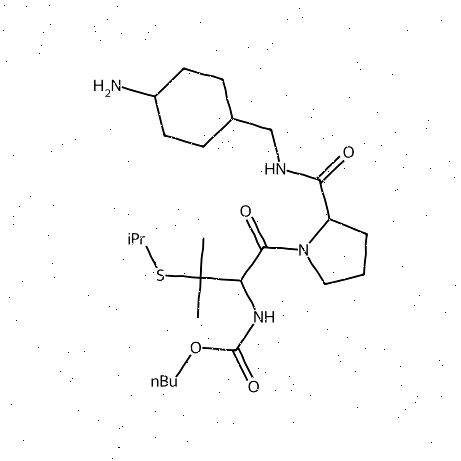 CCCCOC(=O)NC(C(=O)N1CCCC1C(=O)NCC1CCC(N)CC1)C(C)(C)SC(C)C